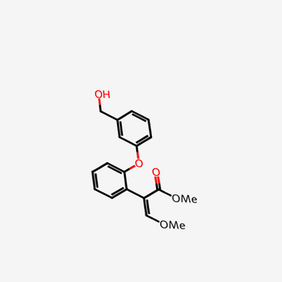 COC=C(C(=O)OC)c1ccccc1Oc1cccc(CO)c1